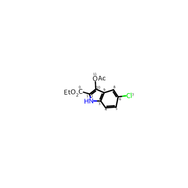 CCOC(=O)c1[nH]c2ccc(Cl)cc2c1OC(C)=O